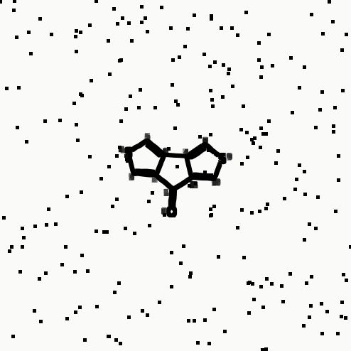 O=C1c2cscc2-c2cscc21